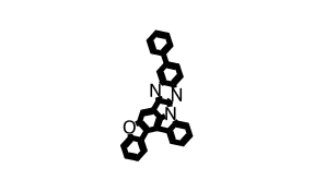 c1ccc(-c2ccc3nc4c(nc3c2)c2cc3oc5ccccc5c3c3c5ccccc5n4c23)cc1